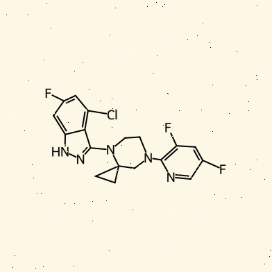 Fc1cnc(N2CCN(c3n[nH]c4cc(F)cc(Cl)c34)C3(CC3)C2)c(F)c1